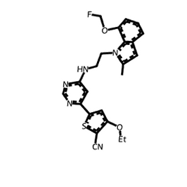 CCOc1cc(-c2cc(NCCn3c(C)cc4cccc(OCF)c43)ncn2)sc1C#N